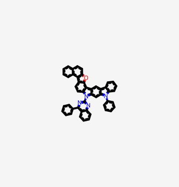 c1ccc(-c2nc(-n3c4cc5c(cc4c4c6oc7ccc8ccccc8c7c6ccc43)c3ccccc3n5-c3ccccc3)nc3ccccc23)cc1